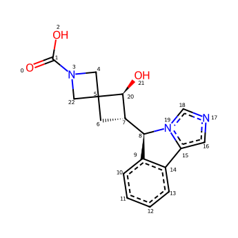 O=C(O)N1CC2(C[C@@H]([C@@H]3c4ccccc4-c4cncn43)[C@@H]2O)C1